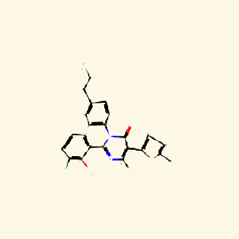 CCCc1ccc(-n2c(-c3cccc(F)c3O)nc(C)c(-c3ccc(C)s3)c2=O)cc1